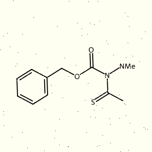 CNN(C(=O)OCc1ccccc1)C(C)=S